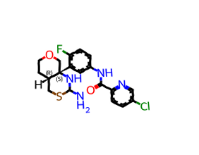 NC1N[C@@]2(c3cc(NC(=O)c4ccc(Cl)cn4)ccc3F)COCC[C@H]2CS1